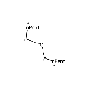 [CH2]C[CH]CCCOCCCCCC